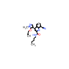 C#CCOc1c(-c2cc(C(=O)NCCCCC)nc3c(C#N)cccc23)cnn1C